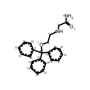 NC(=O)CNCCOC(c1ccccc1)(c1ccccc1)c1ccccc1